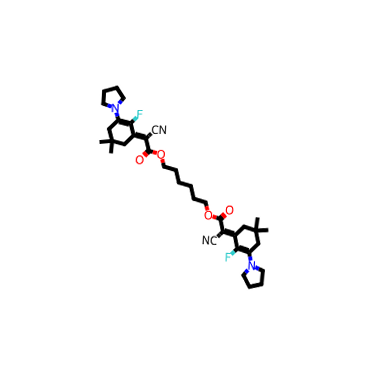 CC1(C)CC(N2CCCC2)=C(F)/C(=C(\C#N)C(=O)OCCCCCCOC(=O)/C(C#N)=C2\CC(C)(C)CC(N3CCCC3)=C2F)C1